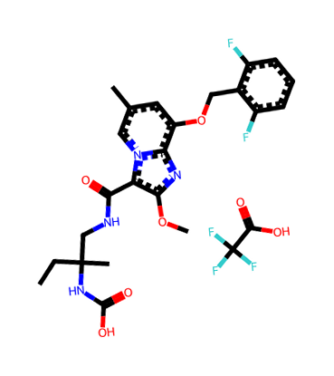 CCC(C)(CNC(=O)c1c(OC)nc2c(OCc3c(F)cccc3F)cc(C)cn12)NC(=O)O.O=C(O)C(F)(F)F